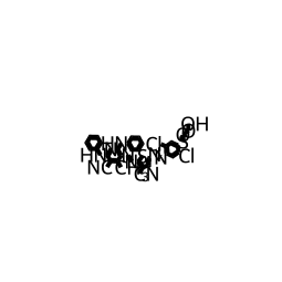 Cc1c(C#N)c(Nc2ccccc2)nc(Nc2ccccc2)c1N=Nc1sc(N=Nc2cc(Cl)c(SOOO)cc2Cl)cc1C#N